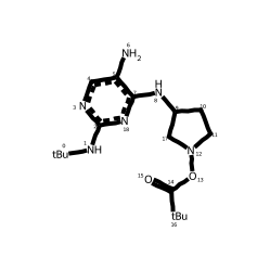 CC(C)(C)Nc1ncc(N)c(NC2CCN(OC(=O)C(C)(C)C)C2)n1